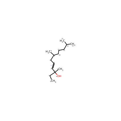 CCC(C)(O)/C=C/CC(C)CCCC(C)C